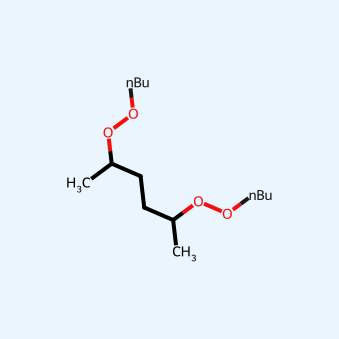 CCCCOOC(C)CCC(C)OOCCCC